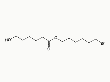 O=C(CCCCCO)OCCCCCCBr